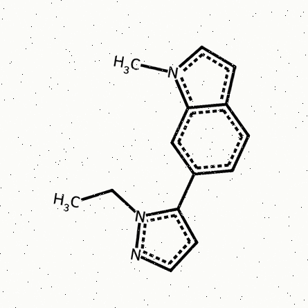 CCn1nccc1-c1ccc2ccn(C)c2c1